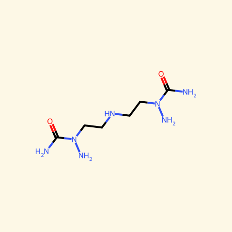 NC(=O)N(N)CCNCCN(N)C(N)=O